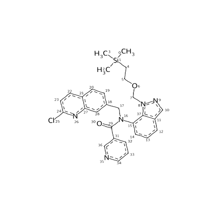 C[Si](C)(C)CCOCn1ncc2cccc(N(Cc3ccc4ccc(Cl)nc4c3)C(=O)c3cccnc3)c21